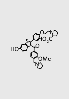 COc1cc(C(=O)c2c(-c3ccc(OCCN4CCCC4C(=O)O)cc3)sc3cc(O)ccc23)ccc1CN1CCCC1